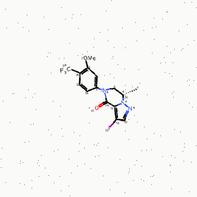 COc1cc(N2C[C@H](C)n3ncc(I)c3C2=O)ccc1C(F)(F)F